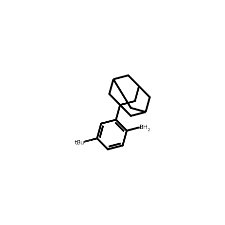 Bc1ccc(C(C)(C)C)cc1C12CC3CC(CC(C3)C1)C2